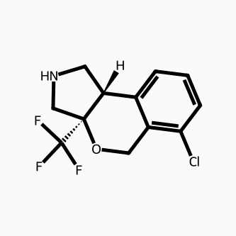 FC(F)(F)[C@]12CNC[C@@H]1c1cccc(Cl)c1CO2